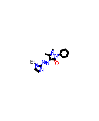 CCn1ccnc1/N=N/c1c(C)n(C)n(-c2ccccc2)c1=O